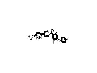 Cc1ccc(C2CCN(C(=O)c3cc(F)c(Oc4ccc(F)cc4)cc3F)CC2)nn1